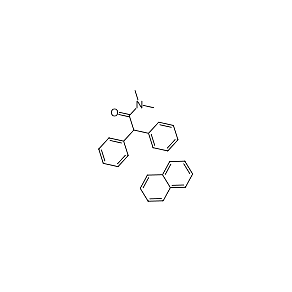 CN(C)C(=O)C(c1ccccc1)c1ccccc1.c1ccc2ccccc2c1